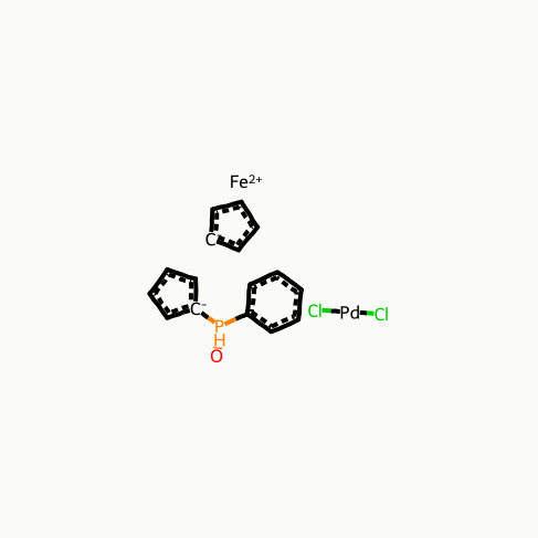 O=[PH](c1ccccc1)[c-]1cccc1.[Cl][Pd][Cl].[Fe+2].c1cc[cH-]c1